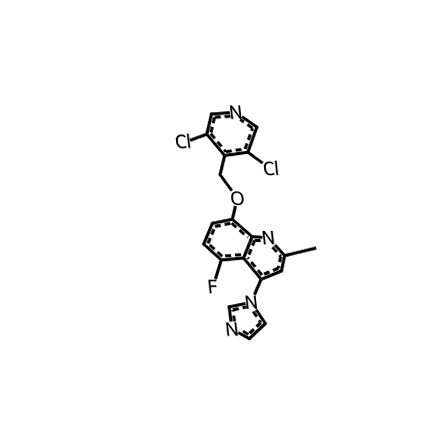 Cc1cc(-n2ccnc2)c2c(F)ccc(OCc3c(Cl)cncc3Cl)c2n1